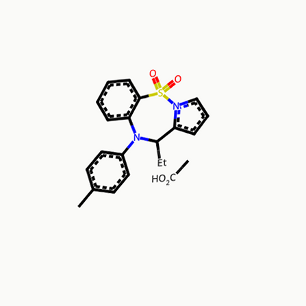 CC(=O)O.CCC1c2cccn2S(=O)(=O)c2ccccc2N1c1ccc(C)cc1